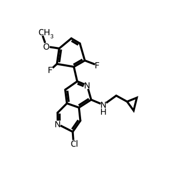 COc1ccc(F)c(-c2cc3cnc(Cl)cc3c(NCC3CC3)n2)c1F